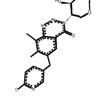 Cc1c(Cc2ccc(Cl)nc2)cc2c(=O)n([C@H]3COCC[C@@H]3O)nnc2c1C